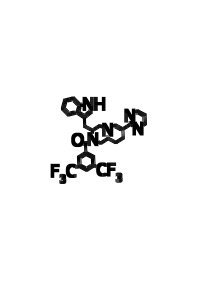 O=C(c1cc(C(F)(F)F)cc(C(F)(F)F)c1)N1CC2CCC(c3ncccn3)=CN2CC1Cc1c[nH]c2ccccc12